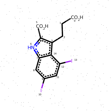 O=C(O)CCc1c(C(=O)O)[nH]c2cc(I)cc(I)c12